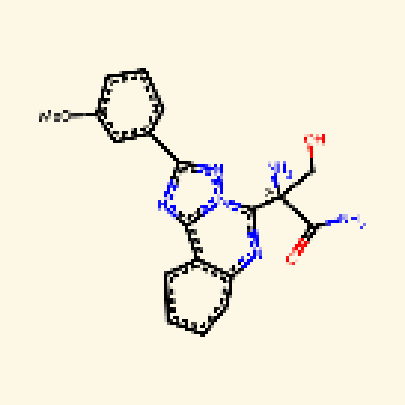 COc1cccc(-c2nc3c4ccccc4nc([C@](N)(CO)C(N)=O)n3n2)c1